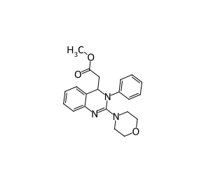 COC(=O)CC1c2ccccc2N=C(N2CCOCC2)N1c1ccccc1